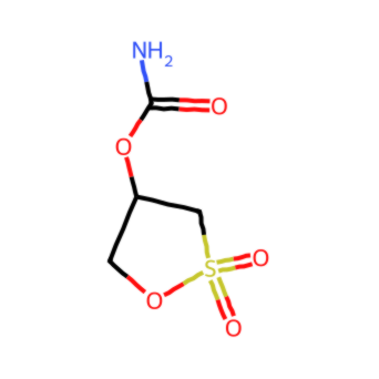 NC(=O)OC1COS(=O)(=O)C1